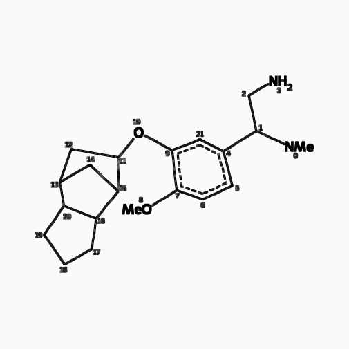 CNC(CN)c1ccc(OC)c(OC2CC3CC2C2CCCC32)c1